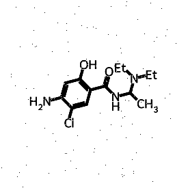 CCN(CC)C(C)NC(=O)c1cc(Cl)c(N)cc1O